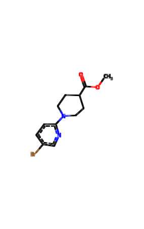 COC(=O)C1CCN(c2ccc(Br)cn2)CC1